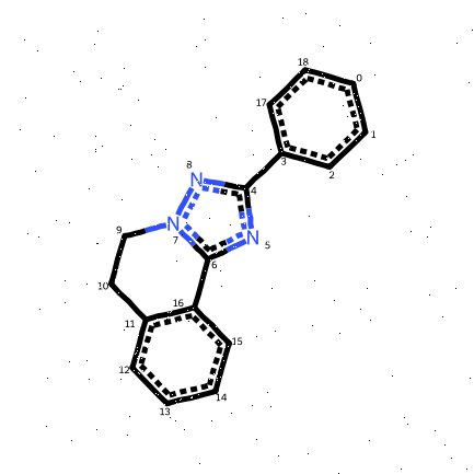 c1ccc(-c2nc3n(n2)CCc2ccccc2-3)cc1